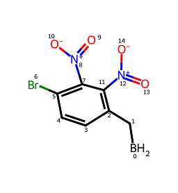 BCc1ccc(Br)c([N+](=O)[O-])c1[N+](=O)[O-]